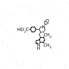 Cc1cc(C)c2[nH]ccc2c1CC1CCN(C2COC2)CC1c1ccc(C(=O)O)cc1